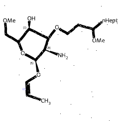 C/C=C\O[C@H]1OC(COC)[C@@H](O)C(OCCC(CCCCCCC)OC)[C@H]1N